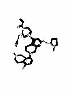 C=CC(=O)N1CCN(c2cc(OC[C@@H]3CCCN3C)nc3c2CCN(c2ccc(F)c4c2CN(C)CC4)C3)C[C@@H]1CC#N